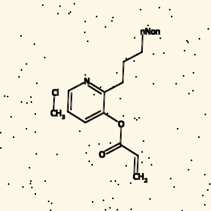 C=CC(=O)Oc1cccnc1CCCCCCCCCCCC.CCl